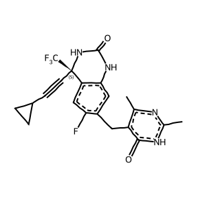 Cc1nc(C)c(Cc2cc3c(cc2F)[C@@](C#CC2CC2)(C(F)(F)F)NC(=O)N3)c(=O)[nH]1